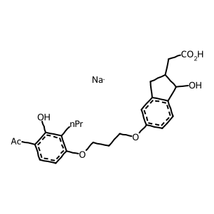 CCCc1c(OCCCOc2ccc3c(c2)CC(CC(=O)O)C3O)ccc(C(C)=O)c1O.[Na]